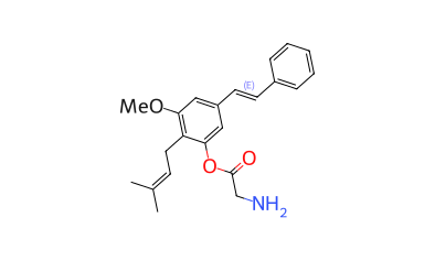 COc1cc(/C=C/c2ccccc2)cc(OC(=O)CN)c1CC=C(C)C